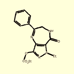 CCOC(=O)Oc1nn(CC)c2c1N=C(c1ccccc1)CNC2=O